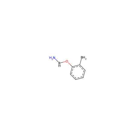 Bc1ccccc1OBN